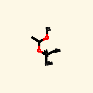 CCCC[SiH](CCCC)OC(C)OCC